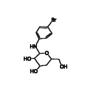 OCC1CC(O)C(O)C(Nc2ccc(Br)cc2)O1